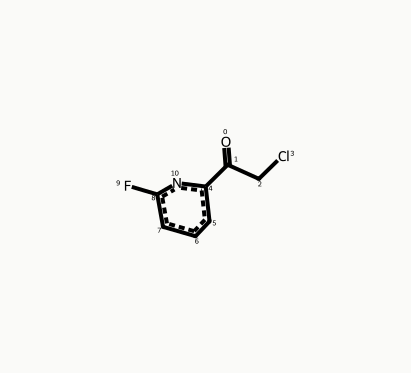 O=C(CCl)c1cccc(F)n1